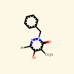 CCOC(=O)c1c(O)c(C(C)C)nn(Cc2ccccc2)c1=O